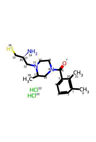 Cc1cccc(C(=O)N2CCN(C[C@@H](N)CS)C(C)C2)c1C.Cl.Cl